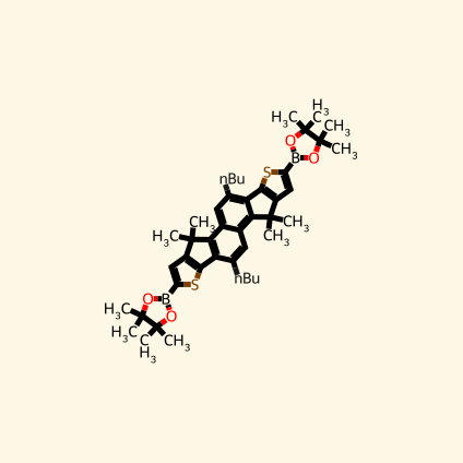 CCCCc1cc2c3c(c(CCCC)cc2c2c1-c1sc(B4OC(C)(C)C(C)(C)O4)cc1C2(C)C)-c1sc(B2OC(C)(C)C(C)(C)O2)cc1C3(C)C